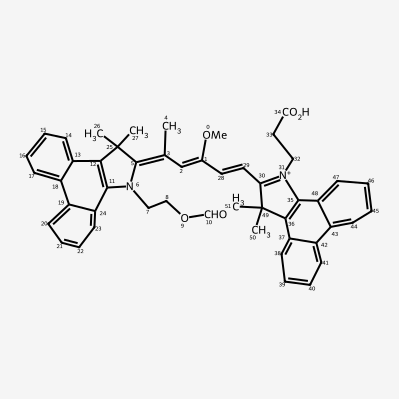 COC(=C\C(C)=C1/N(CCOC=O)c2c(c3ccccc3c3ccccc23)C1(C)C)/C=C/C1=[N+](CCC(=O)O)c2c(c3ccccc3c3ccccc23)C1(C)C